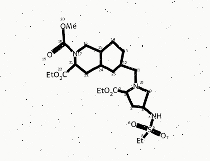 CCOC(=O)C1CC(NS(=O)(=O)CC)CN1CC1CCC2CN(C(=O)OC)C(C(=O)OCC)CC2C1